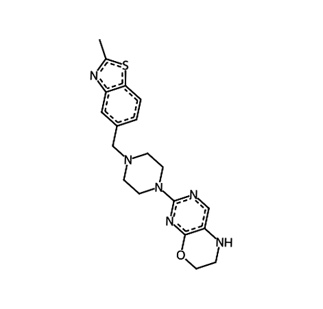 Cc1nc2cc(CN3CCN(c4ncc5c(n4)OCCN5)CC3)ccc2s1